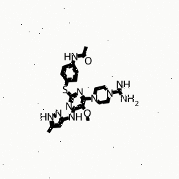 COc1c(Nc2cc(C)[nH]n2)nc(Sc2ccc(NC(C)=O)cc2)nc1N1CCN(C(=N)N)CC1